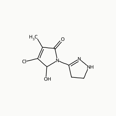 CC1=C(Cl)C(O)N(C2=NNCC2)C1=O